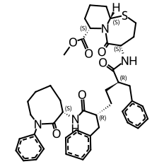 COC(=O)[C@@H]1CCC[C@@H]2SCC[C@H](NC(=O)[C@H](CC[C@H](Cc3ccccc3)C(=O)N[C@H]3CCCCCN(c4ccccc4)C3=O)Cc3ccccc3)C(=O)N21